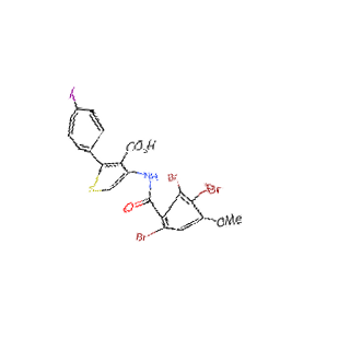 COc1cc(Br)c(C(=O)Nc2csc(-c3ccc(I)cc3)c2C(=O)O)c(Br)c1Br